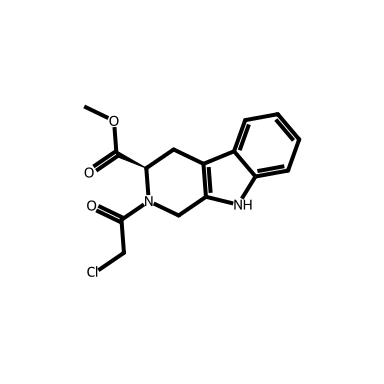 COC(=O)[C@H]1Cc2c([nH]c3ccccc23)CN1C(=O)CCl